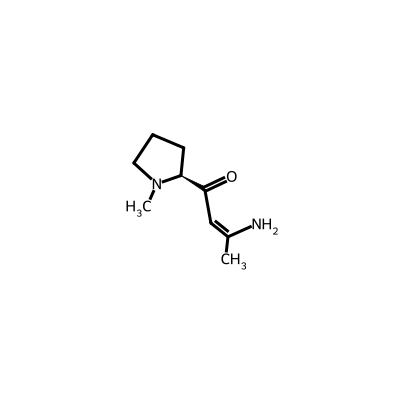 CC(N)=CC(=O)[C@@H]1CCCN1C